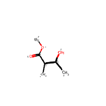 CC(O)C(C)C(=O)OC(C)(C)C